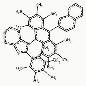 Bc1c(B)c(B)c(-c2nc3ccccc3n2-c2c3c(B)c(B)c(B)c(B)c3c(-c3ccc4ccccc4c3)c3c(B)c(B)c(B)c(B)c23)c(B)c1B